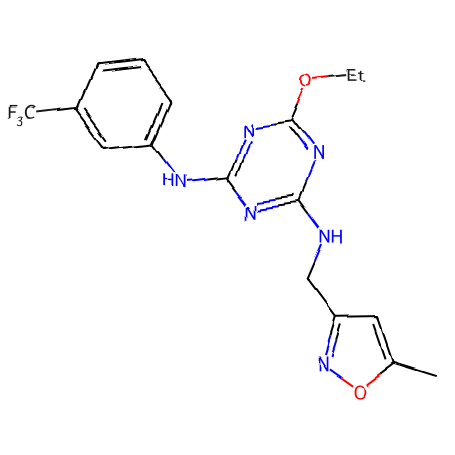 CCOc1nc(NCc2cc(C)on2)nc(Nc2cccc(C(F)(F)F)c2)n1